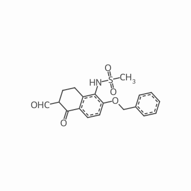 CS(=O)(=O)Nc1c(OCc2ccccc2)ccc2c1CCC(C=O)C2=O